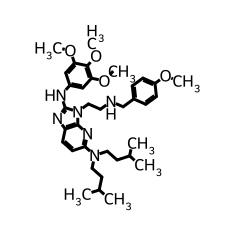 COc1ccc(CNCCn2c(Nc3cc(OC)c(OC)c(OC)c3)nc3ccc(N(CCC(C)C)CCC(C)C)nc32)cc1